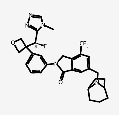 Cn1cnnc1[C@@H](F)C1(c2cccc(N3Cc4c(cc(CN5C6CCCC5CC6)cc4C(F)(F)F)C3=O)c2)COC1